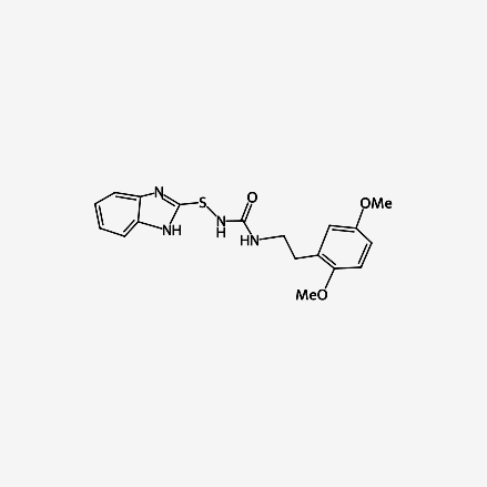 COc1ccc(OC)c(CCNC(=O)NSc2nc3ccccc3[nH]2)c1